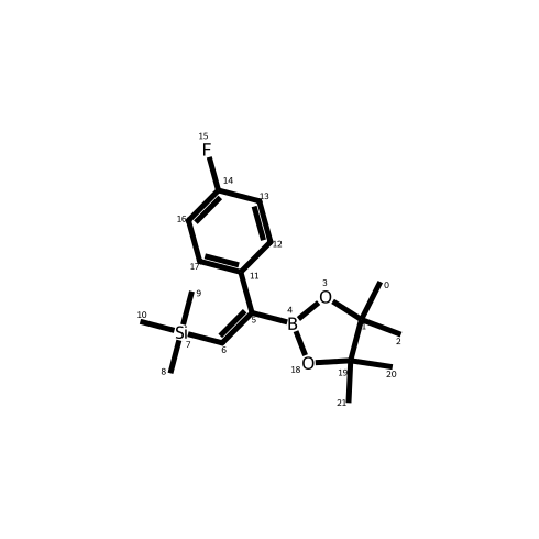 CC1(C)OB(/C(=C/[Si](C)(C)C)c2ccc(F)cc2)OC1(C)C